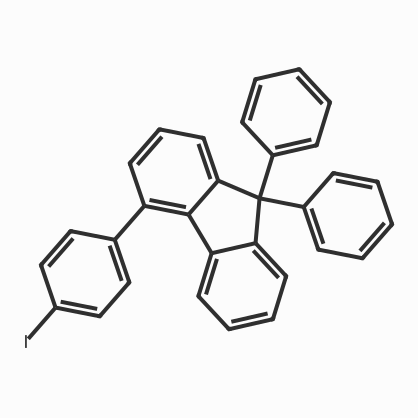 Ic1ccc(-c2cccc3c2-c2ccccc2C3(c2ccccc2)c2ccccc2)cc1